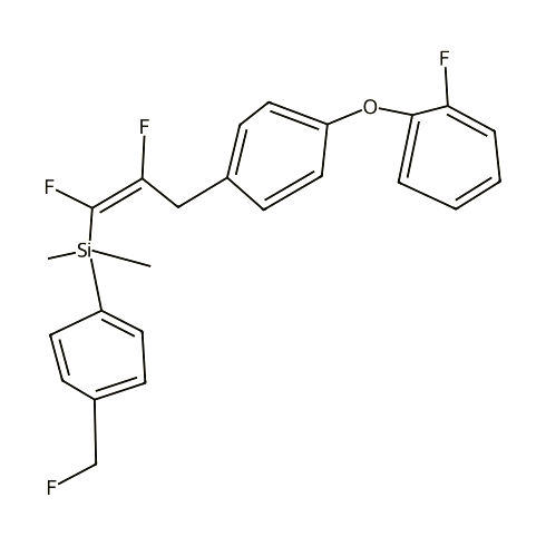 C[Si](C)(/C(F)=C(/F)Cc1ccc(Oc2ccccc2F)cc1)c1ccc(CF)cc1